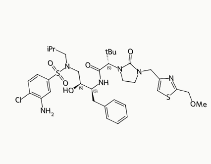 COCc1nc(CN2CCN([C@H](C(=O)N[C@@H](Cc3ccccc3)[C@@H](O)CN(CC(C)C)S(=O)(=O)c3ccc(Cl)c(N)c3)C(C)(C)C)C2=O)cs1